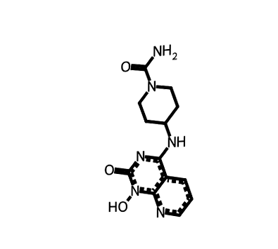 NC(=O)N1CCC(Nc2nc(=O)n(O)c3ncccc23)CC1